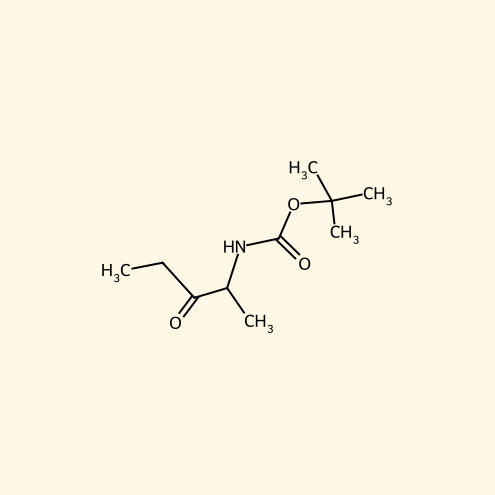 CCC(=O)C(C)NC(=O)OC(C)(C)C